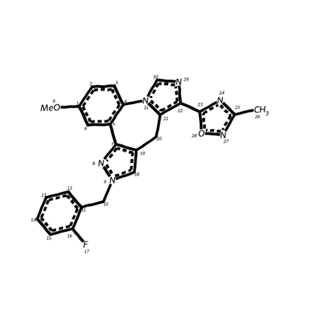 COc1ccc2c(c1)-c1nn(Cc3ccccc3F)cc1Cc1c(-c3nc(C)no3)ncn1-2